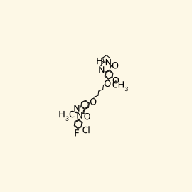 COc1cc2c(cc1OCCCCCOc1ccc3nc(C)n(-c4ccc(F)c(Cl)c4)c(=O)c3c1)N=C[C@@H]1CCCN1C2=O